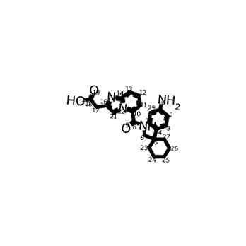 Nc1ccc(C2(CNC(=O)c3cccc4nc(CC(=O)O)cn34)CCCCC2)cc1